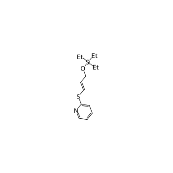 CC[Si](CC)(CC)OCC=CSc1ccccn1